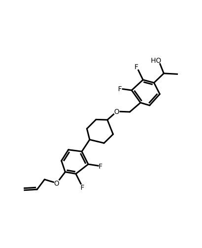 C=CCOc1ccc(C2CCC(OCc3ccc(C(C)O)c(F)c3F)CC2)c(F)c1F